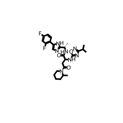 CC(C)c1noc(NC(CC(=O)N2CCCCC2C)C(=O)N[C@@H](C)c2ncc(-c3ccc(F)cc3F)[nH]2)n1